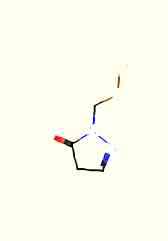 O=C1CC=NN1CS[S]